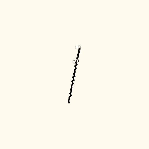 CCCCCCCCCCCCCCCCCCCCCC(=O)OCCCCCCO